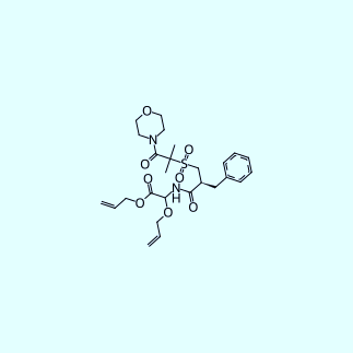 C=CCOC(=O)C(NC(=O)[C@H](Cc1ccccc1)CS(=O)(=O)C(C)(C)C(=O)N1CCOCC1)OCC=C